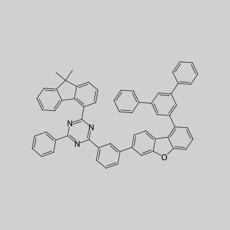 CC1(C)c2ccccc2-c2c(-c3nc(-c4ccccc4)nc(-c4cccc(-c5ccc6c(c5)oc5cccc(-c7cc(-c8ccccc8)cc(-c8ccccc8)c7)c56)c4)n3)cccc21